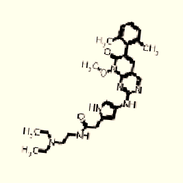 CCN(CC)CCNC(=O)Cc1cc(Nc2ncc3cc(-c4c(C)cccc4C)c(=O)n(OC)c3n2)c[nH]1